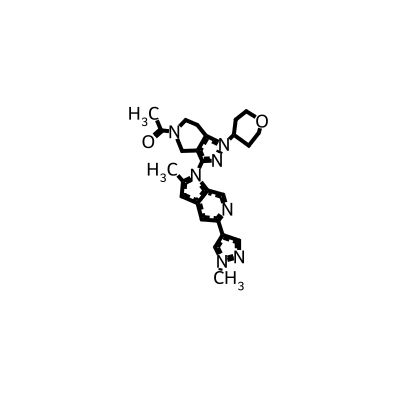 CC(=O)N1CCc2c(c(-n3c(C)cc4cc(-c5cnn(C)c5)ncc43)nn2C2CCOCC2)C1